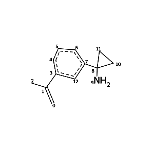 C=C(C)c1cccc(C2(N)CC2)c1